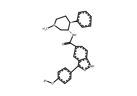 CC(C)Oc1ccc(-c2n[nH]c3ccc(C(=O)N[C@@H]4CN(C)CC[C@H]4c4ccccc4)cc23)cc1